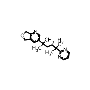 CC(C)(CCC(C)(C)c1ncccn1)c1cnc2c(c1)COC2